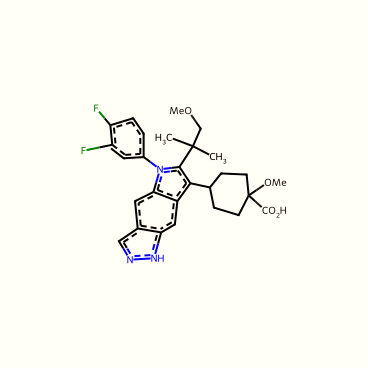 COCC(C)(C)c1c(C2CCC(OC)(C(=O)O)CC2)c2cc3[nH]ncc3cc2n1-c1ccc(F)c(F)c1